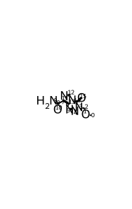 COCn1nnc2c(C(N)=O)ncn2c1=O